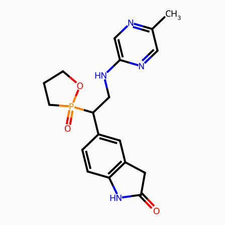 Cc1cnc(NCC(c2ccc3c(c2)CC(=O)N3)P2(=O)CCCO2)cn1